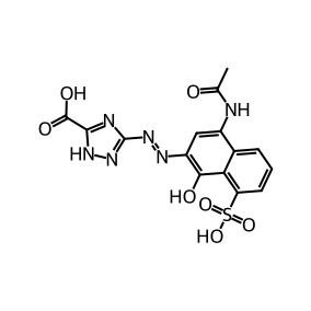 CC(=O)Nc1cc(N=Nc2n[nH]c(C(=O)O)n2)c(O)c2c(S(=O)(=O)O)cccc12